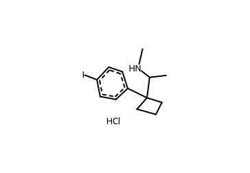 CNC(C)C1(c2ccc(I)cc2)CCC1.Cl